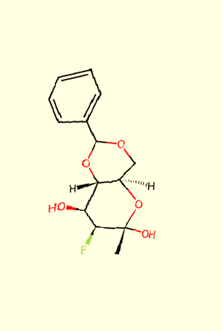 C[C@]1(O)O[C@@H]2COC(c3ccccc3)O[C@H]2[C@H](O)[C@@H]1F